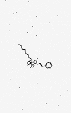 CCCCCCCC[Si](OC)(OC)OCC=Cc1ccccc1